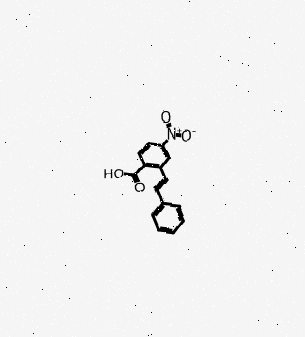 O=C(O)c1ccc([N+](=O)[O-])cc1C=Cc1ccccc1